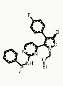 CCOCn1oc(=O)c(-c2ccc(F)cc2)c1-c1ccnc(N[C@H](C)c2ccccc2)n1